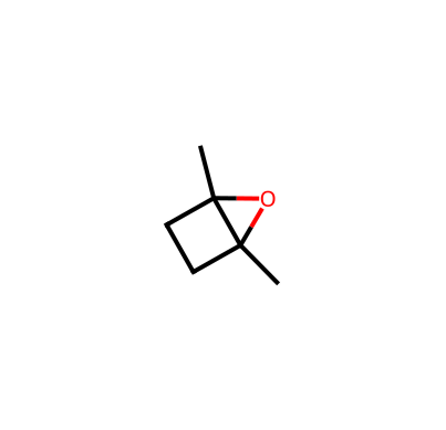 CC12CCC1(C)O2